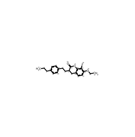 CCCc1ccc(CCC2Cc3ccc(OCC)c(F)c3OC2=O)cc1